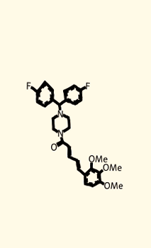 COc1ccc(C=CC=CC(=O)N2CCN(C(c3ccc(F)cc3)c3ccc(F)cc3)CC2)c(OC)c1OC